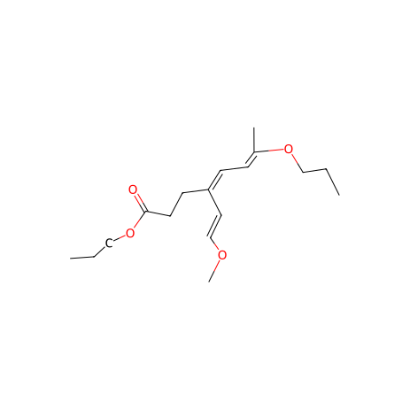 CCCOC(=O)CCC(=C/C=C(\C)OCCC)/C=C/OC